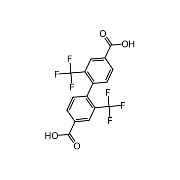 O=C(O)c1ccc(-c2ccc(C(=O)O)cc2C(F)(F)F)c(C(F)(F)F)c1